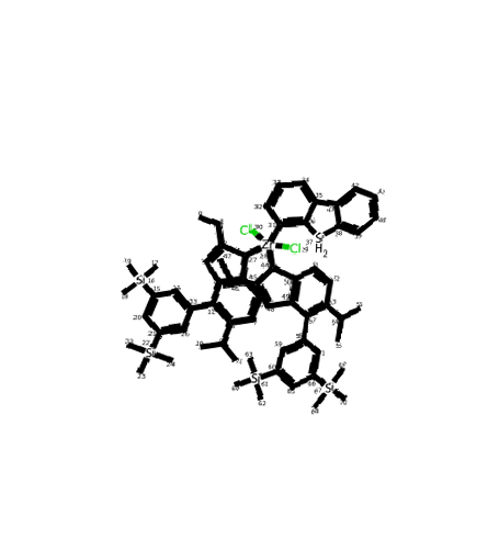 CCC1=Cc2c(ccc(C(C)C)c2-c2cc([Si](C)(C)C)cc([Si](C)(C)C)c2)[CH]1[Zr]([Cl])([Cl])([c]1cccc2c1[SiH2]c1ccccc1-2)[CH]1C(CC)=Cc2c1ccc(C(C)C)c2-c1cc([Si](C)(C)C)cc([Si](C)(C)C)c1